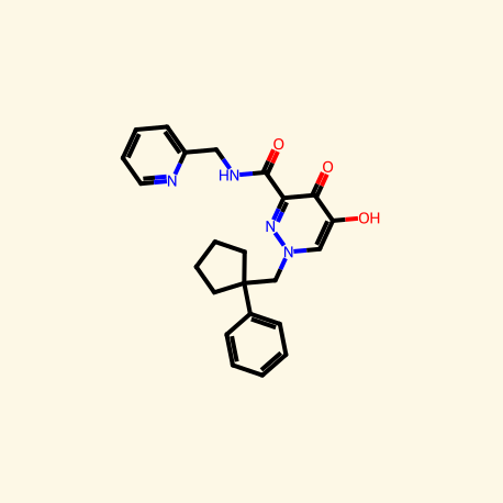 O=C(NCc1ccccn1)c1nn(CC2(c3ccccc3)CCCC2)cc(O)c1=O